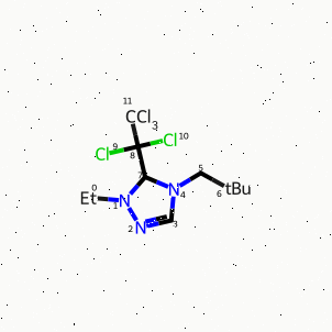 CCN1N=CN(CC(C)(C)C)C1C(Cl)(Cl)C(Cl)(Cl)Cl